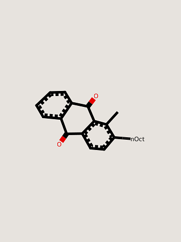 CCCCCCCCc1ccc2c(c1C)C(=O)c1ccccc1C2=O